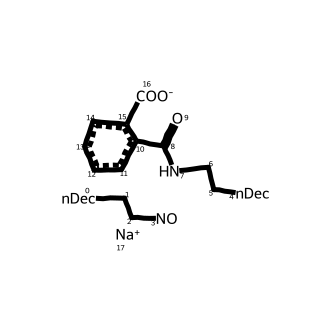 CCCCCCCCCCCCN=O.CCCCCCCCCCCCNC(=O)c1ccccc1C(=O)[O-].[Na+]